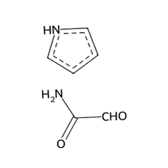 NC(=O)C=O.c1cc[nH]c1